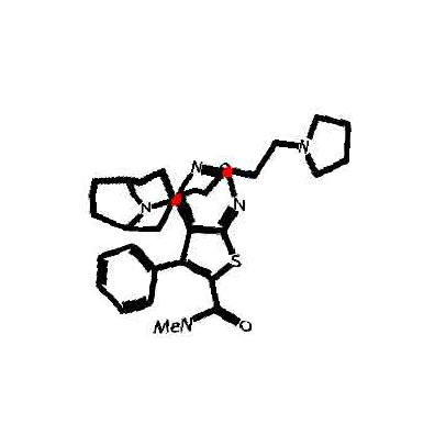 CNC(=O)c1sc2ncnc(N3C4CCC3CC(COCCN3CCCC3)C4)c2c1-c1ccccc1